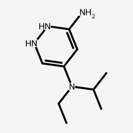 CCN(C1=CNNC(N)=C1)C(C)C